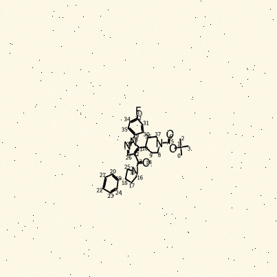 CC(C)(C)OC(=O)N1CCC(c2c(C(=O)N3CC[C@H](c4ccccc4)C3)cnn2-c2ccc(F)cc2)CC1